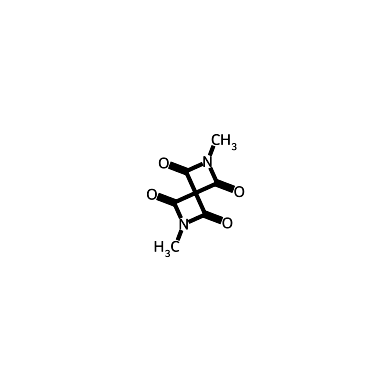 CN1C(=O)C2(C1=O)C(=O)N(C)C2=O